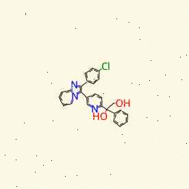 OCC(O)(c1ccccc1)c1ccc(-c2c(-c3ccc(Cl)cc3)nc3ccccn23)cn1